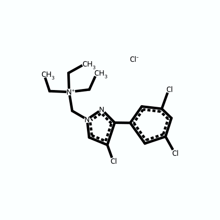 CC[N+](CC)(CC)Cn1cc(Cl)c(-c2cc(Cl)cc(Cl)c2)n1.[Cl-]